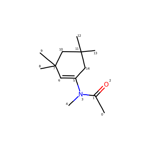 CC(=O)N(C)C1=CC(C)(C)CC(C)(C)C1